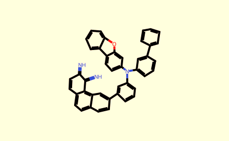 N=C1C=Cc2ccc3ccc(-c4cccc(N(c5cccc(-c6ccccc6)c5)c5ccc6c(c5)oc5ccccc56)c4)cc3c2C1=N